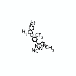 CCN1CCC(C)(COc2ccc(-c3nc(C#N)nc4c3ccn4C)cc2C(F)(F)F)CC1